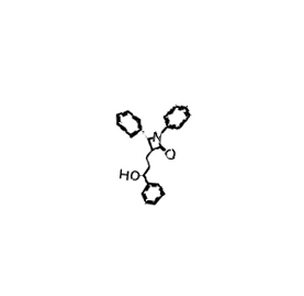 O=C1[C@@H](CC[C@@H](O)c2ccccc2)[C@H](c2ccccc2)N1c1ccccc1